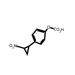 O=C(O)Oc1ccc(C2CC2[N+](=O)[O-])cc1